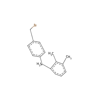 Cc1cccc([SiH2]c2ccc(CBr)cc2)c1C